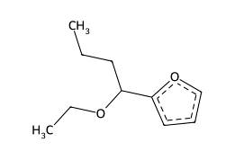 CCCC(OCC)c1ccco1